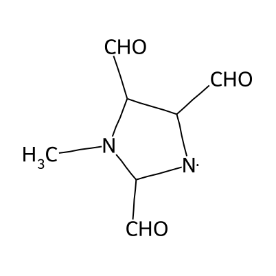 CN1C(C=O)[N]C(C=O)C1C=O